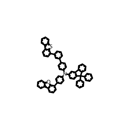 c1ccc(C2(c3ccccc3)c3ccccc3-c3cc(N(c4ccc(-c5cccc(-c6cccc7c6sc6ccccc67)c5)cc4)c4ccc(-c5cccc6c5oc5ccccc56)cc4)ccc32)cc1